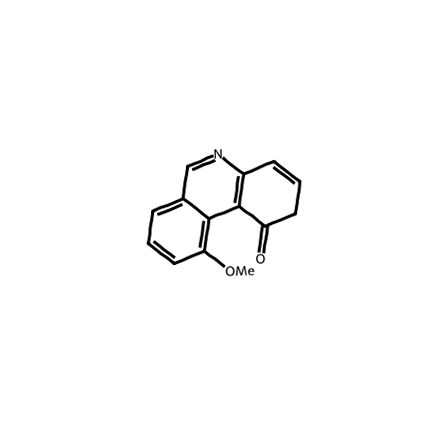 COc1cccc2cnc3c(c12)C(=O)CC=C3